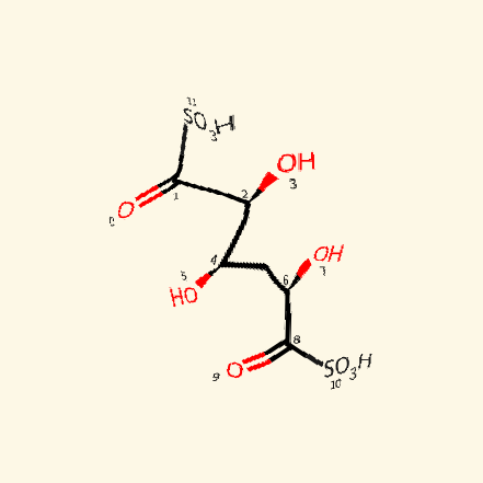 O=C([C@@H](O)[C@H](O)[C@@H](O)C(=O)S(=O)(=O)O)S(=O)(=O)O